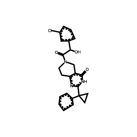 O=C(C(O)c1cccc(Cl)c1)N1CCc2nc(C3(c4ccccc4)CC3)[nH]c(=O)c2C1